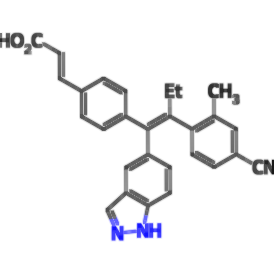 CCC(=C(c1ccc(C=CC(=O)O)cc1)c1ccc2[nH]ncc2c1)c1ccc(C#N)cc1C